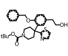 CC(C)(C)OC(=O)N1CCC(c2nccs2)(c2cc(CCO)ccc2OCc2ccccc2)CC1